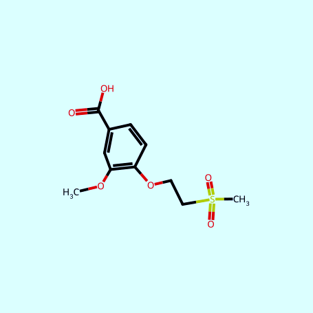 COc1cc(C(=O)O)ccc1OCCS(C)(=O)=O